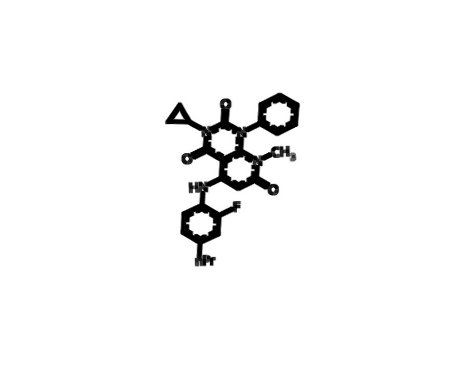 CCCc1ccc(Nc2cc(=O)n(C)c3c2c(=O)n(C2CC2)c(=O)n3-c2ccccc2)c(F)c1